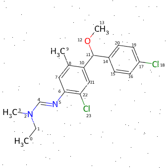 CCN(C)C=Nc1cc(C)c(C(OC)c2ccc(Cl)cc2)cc1Cl